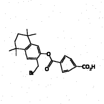 CC1(C)CCC(C)(C)c2cc(OC(=O)c3ccc(C(=O)O)cc3)c(CBr)cc21